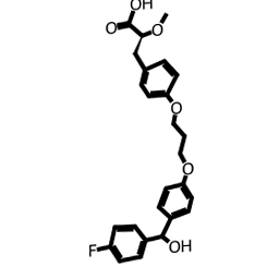 CO[C@@H](Cc1ccc(OCCCOc2ccc(C(O)c3ccc(F)cc3)cc2)cc1)C(=O)O